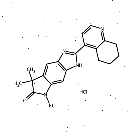 CCN1C(=O)C(C)(C)c2cc3nc(-c4ccnc5c4CCCC5)[nH]c3cc21.Cl